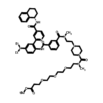 CCN(CC)c1ccc(NC(=O)c2cccc(C(=O)N(C)CCN3CCN(C(=O)N(C)CCOCCOCCOCCC(=O)OC(C)(C)C)CC3)c2)c(-c2cc(C(=O)N[C@H]3CCCc4ccccc43)ccn2)c1